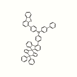 c1ccc(-c2ccc(N(c3ccc(-c4cccc5c4-c4ccccc4C54c5ccccc5C(c5ccccc5)(c5ccccc5)c5ccccc54)cc3)c3ccc(-c4cccc5c4sc4ccccc45)cc3)cc2)cc1